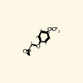 FC(F)(F)Oc1ccc(OC[C@H]2CO2)cc1